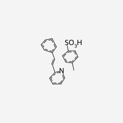 C(=C\c1ccccn1)/c1ccccc1.Cc1ccc(S(=O)(=O)O)cc1